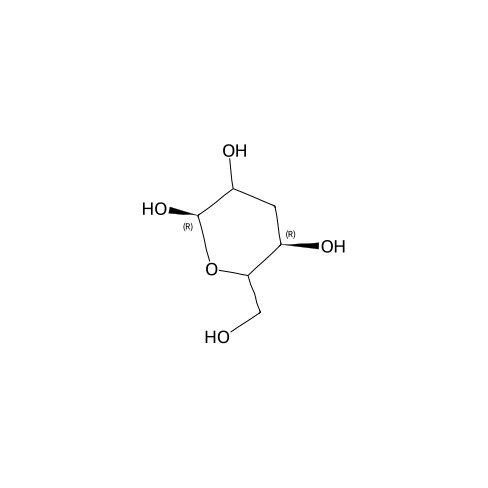 OCC1O[C@@H](O)C(O)C[C@H]1O